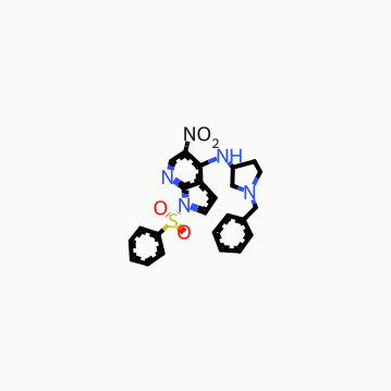 O=[N+]([O-])c1cnc2c(ccn2S(=O)(=O)c2ccccc2)c1NC1CCN(Cc2ccccc2)C1